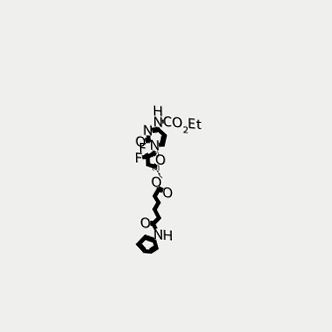 CCOC(=O)Nc1ccn([C@@H]2O[C@H](COC(=O)CCCCC(=O)Nc3ccccc3)CC2(F)F)c(=O)n1